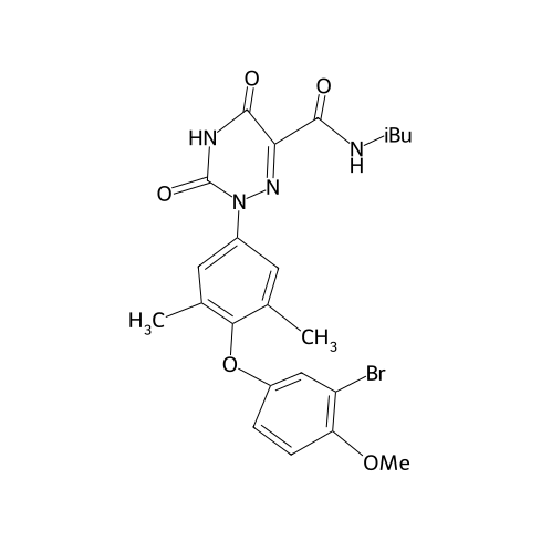 CCC(C)NC(=O)c1nn(-c2cc(C)c(Oc3ccc(OC)c(Br)c3)c(C)c2)c(=O)[nH]c1=O